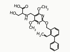 C=Cc1c(COc2nc(OC)c(CNC(CO)C(=O)O)c(OC)n2)cccc1-c1ccccc1